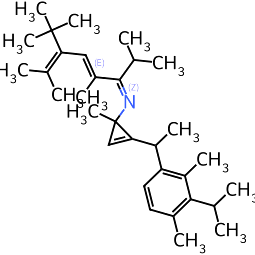 CC(C)=C(/C=C(C)/C(=N\C1(C)C=C1C(C)c1ccc(C)c(C(C)C)c1C)C(C)C)C(C)(C)C